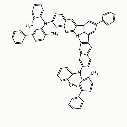 Cc1ccccc1N(c1ccc2cc3c4cc(-c5ccccc5)cc5c6cc7ccc(N(c8ccccc8C)c8cc(-c9ccccc9)ccc8C)cc7cc6n(c3cc2c1)c45)c1cc(-c2ccccc2)ccc1C